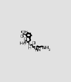 NCc1cn(CC(=O)NC2Cc3cccc(C(=O)O)c3OB2O)nn1